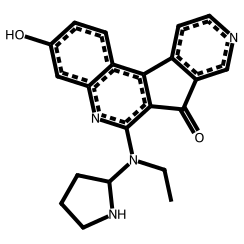 CCN(c1nc2cc(O)ccc2c2c1C(=O)c1cnccc1-2)C1CCCN1